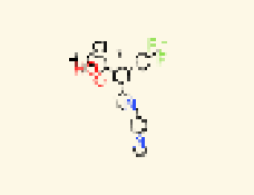 CC(C)CC(C(=O)O)c1cc(-c2ccc(C(F)(F)F)cc2)cc(C2CCCN(Cc3ccc(-n4cccc4)cc3)C2)c1